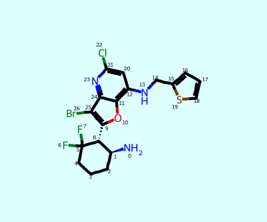 N[C@H]1CCCC(F)(F)[C@@H]1c1oc2c(NCc3cccs3)cc(Cl)nc2c1Br